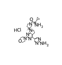 C[C@]1(N2CCc3c(-c4cnc(N)nc4)nc(N4CCOCC4)nc32)CCN(C(=O)[C@H](N)C2CC2)C1.Cl